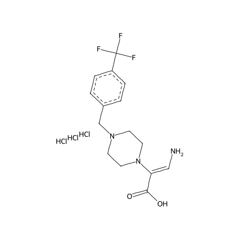 Cl.Cl.Cl.N/C=C(/C(=O)O)N1CCN(Cc2ccc(C(F)(F)F)cc2)CC1